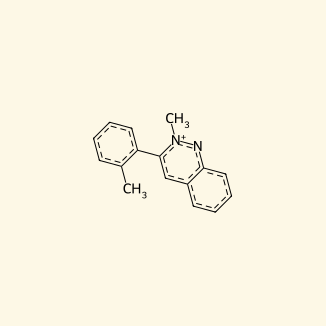 Cc1ccccc1-c1cc2ccccc2n[n+]1C